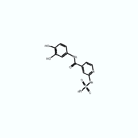 CCCS(=O)(=O)Nc1cc(C(=O)Nc2ccc(O)c(O)c2)ccn1